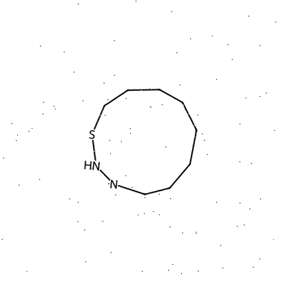 C1CCCCSN[N]CCC1